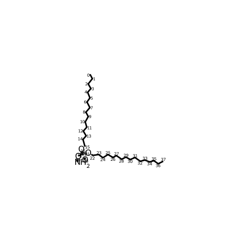 CCCCCCCCCCCCCCCCOP(=O)(ON)OCCCCCCCCCCCCCCCC